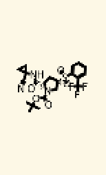 CC(C)(C)OC(=O)N1C[C@@H](S(=O)(=O)c2ccccc2C(F)(F)F)C[C@H]1C(=O)NC1(C#N)CC1